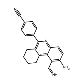 N#Cc1ccc(-c2nc3ccc(N)c(C=N)c3c3c2CCCC3)cc1